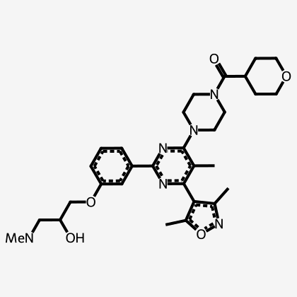 CNCC(O)COc1cccc(-c2nc(-c3c(C)noc3C)c(C)c(N3CCN(C(=O)C4CCOCC4)CC3)n2)c1